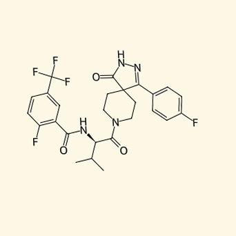 CC(C)[C@@H](NC(=O)c1cc(C(F)(F)F)ccc1F)C(=O)N1CCC2(CC1)C(=O)NN=C2c1ccc(F)cc1